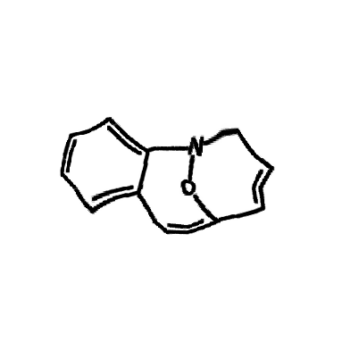 C1=CC2=Cc3ccccc3N(C1)O2